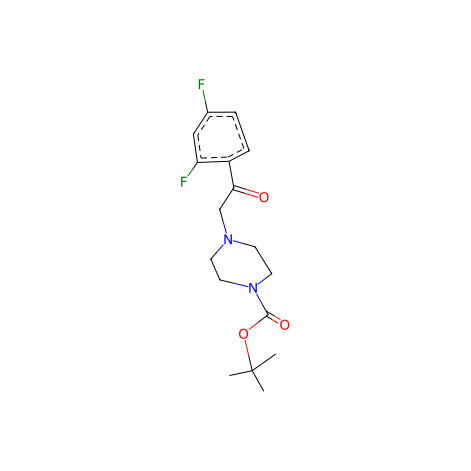 CC(C)(C)OC(=O)N1CCN(CC(=O)c2ccc(F)cc2F)CC1